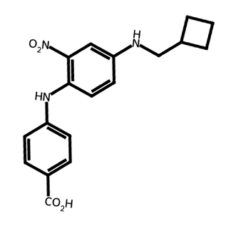 O=C(O)c1ccc(Nc2ccc(NCC3CCC3)cc2[N+](=O)[O-])cc1